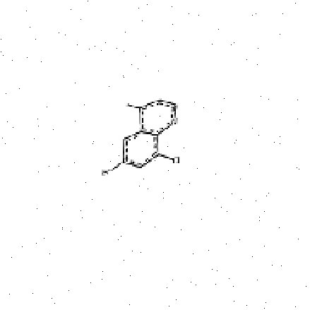 Cc1ccnc2c(Cl)cc(Br)cc12